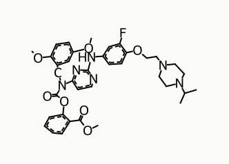 COC(=O)c1ccccc1OC(=O)N(Cc1cc(OC)ccc1OC)c1ccnc(Nc2ccc(OCCN3CCN(C(C)C)CC3)c(F)c2)n1